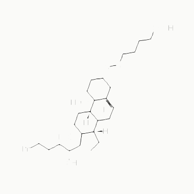 CC(C)CCC[C@@H](C)[C@H]1CC[C@H]2[C@@H]3CC=C4C[C@@H](SSCCCCC(=O)O)CC[C@]4(C)[C@H]3CC[C@]12C